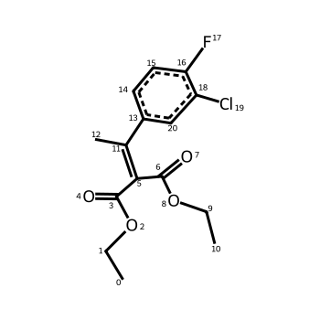 CCOC(=O)C(C(=O)OCC)=C(C)c1ccc(F)c(Cl)c1